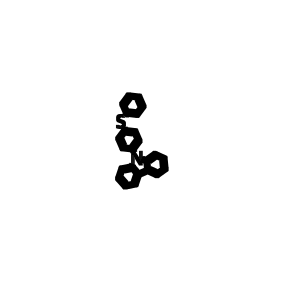 c1ccc(Sc2ccc(-n3c4ccccc4c4ccccc43)cc2)cc1